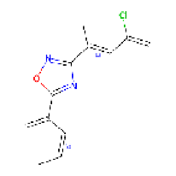 C=C(Cl)/C=C(\C)c1noc(C(=C)/C=C\C)n1